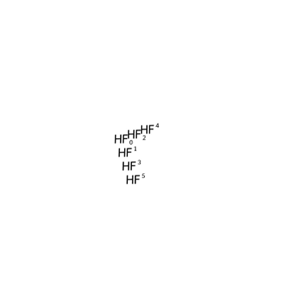 F.F.F.F.F.F